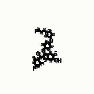 Cc1cc(F)cc(C)c1C(=O)c1sc2cc(O)c(F)cc2c1Oc1ccc(O[C@@H]2CCN(CCCF)C2)cc1